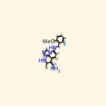 COc1cccc(F)c1CNc1ccc(/C(=C/N)C(C)=N)c2nncn12